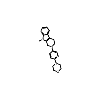 Cn1c2c(c3cccnc31)CCN(c1ccc(N3CCOCC3)nc1)C2